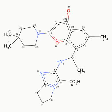 Cc1cc(C(C)Nc2nc3n(c2C(=O)O)CCC3)c2oc(N3CCC(C)(C)CC3)cc(=O)c2c1